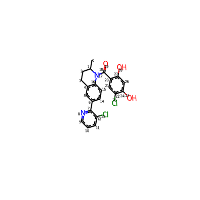 CC1CCc2cc(-c3ncccc3Cl)ccc2N1C(=O)c1cc(Cl)c(O)cc1O